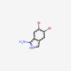 Nc1[nH]cc2cc(Br)c(Br)cc12